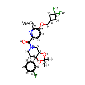 [2H]C1([2H])OC2CN(C(=O)c3ccc(OCC4CC(F)(F)C4)c(OC)n3)CC[C@]2(c2cccc(F)c2)O1